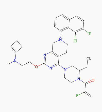 C=C(F)C(=O)N1CCN(c2nc(OCCN(C)C3CCC3)nc3c2CCN(c2cccc4ccc(F)c(Cl)c24)C3)CC1CC#N